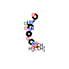 CC(C)(C)S(=O)(=O)N1CCC(Oc2ccc(-n3ncc(NC[C@@H]4CCCOC4)c(Cl)c3=O)cc2)CC1